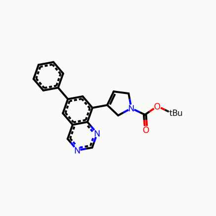 CC(C)(C)OC(=O)N1CC=C(c2cc(-c3ccccc3)cc3cncnc23)C1